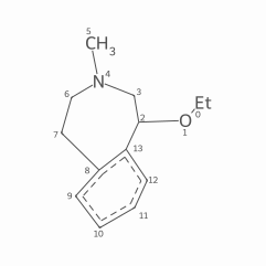 CCOC1CN(C)CCc2ccccc21